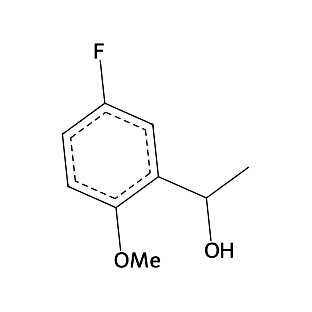 COc1ccc(F)cc1C(C)O